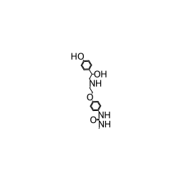 CNC(=O)Nc1ccc(OCCNCC(O)c2ccc(O)cc2)cc1